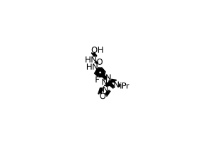 CC(C)N1Cc2nc(-c3ccc(NC(=O)NCCO)cc3F)nc(N3CCOCC3)c2C1